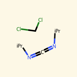 CC(C)N=C=NC(C)C.ClCCl